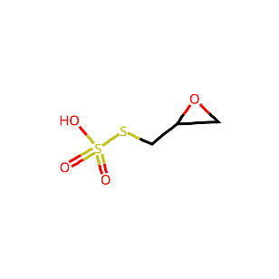 O=S(=O)(O)SCC1CO1